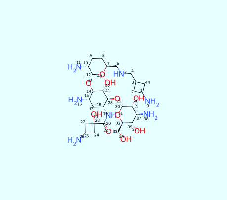 NC1CC(CNC[C@@H]2CC[C@@H](N)[C@@H](OC3[C@@H](N)C[C@@H](NC(=O)C4(O)CC(N)C4)[C@H](O[C@H]4O[C@H](CO)[C@@H](O)[C@H](N)[C@H]4O)[C@H]3O)O2)C1